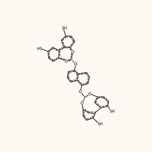 Sc1ccc2op(Oc3cccc4c(OP5Oc6ccc(S)c(c6)-c6cc(ccc6S)O5)cccc34)oc3ccc(S)cc3c2c1